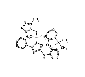 Cn1nnnc1CC(C)(C)c1nc(Nc2cccnc2Oc2ccccc2C(C)(C)C)sc1-c1ccccc1